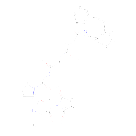 CC[C@H](C)C(NC(=O)[C@@H]1CCCN1C(=O)CNC(=O)CNC(=O)CCC(=O)N1Cc2ccccc2/C=C\c2ccccc21)C(=O)ON1C(=O)CCC1=O